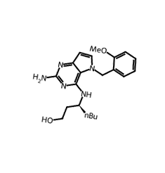 CCCC[C@@H](CCO)Nc1nc(N)nc2ccn(Cc3ccccc3OC)c12